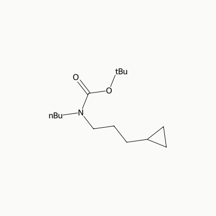 CCCCN(CCCC1CC1)C(=O)OC(C)(C)C